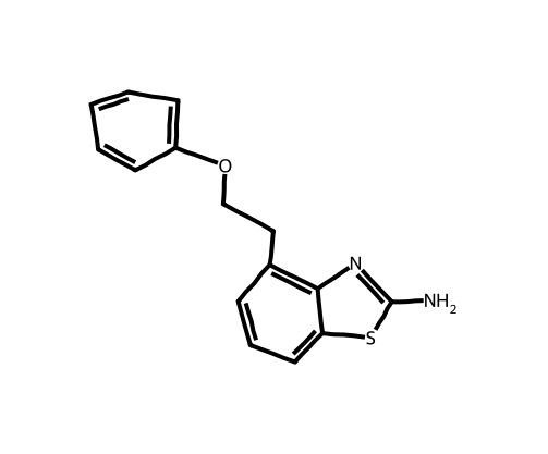 Nc1nc2c(CCOc3ccccc3)cccc2s1